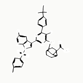 Cc1ccc(S(=O)(=O)n2cc(-c3nc(NC4C5CCC(CC5)C4C(=O)O)c(F)c(-c4ccc(C(C)(C)C)cc4)n3)c3cc(F)cnc32)cc1